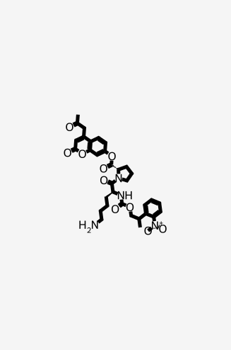 CC(=O)Cc1cc(=O)oc2cc(OC(=O)[C@@H]3CCCN3C(=O)[C@H](CCCCN)NC(=O)OCC(C)c3ccccc3[N+](=O)[O-])ccc12